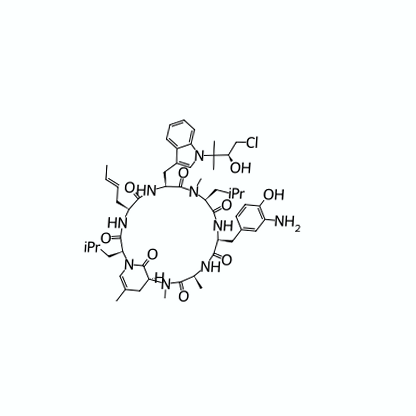 C/C=C/C[C@@H]1NC(=O)[C@H](CC(C)C)N2C=C(C)C[C@@H](C2=O)N(C)C(=O)[C@H](C)NC(=O)[C@H](Cc2ccc(O)c(N)c2)NC(=O)[C@H](CC(C)C)N(C)C(=O)[C@H](Cc2cn(C(C)(C)[C@H](O)CCl)c3ccccc23)NC1=O